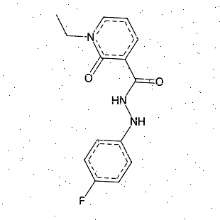 CCn1cccc(C(=O)NNc2ccc(F)cc2)c1=O